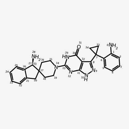 Nc1ccccc1C1(c2n[nH]c3nc(N4CCC5(CC4)Cc4ccccc4[C@H]5N)[nH]c(=O)c23)CC1